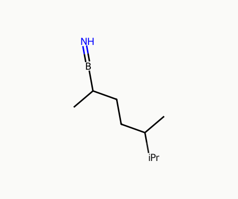 CC(B=N)CCC(C)C(C)C